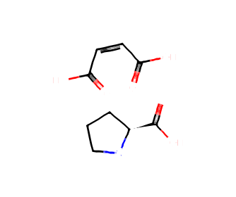 O=C(O)/C=C\C(=O)O.O=C(O)[C@@H]1CCCN1